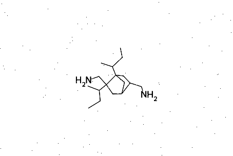 CCC(C)C1(CN)CC2CC1(C(C)CC)CC2CN